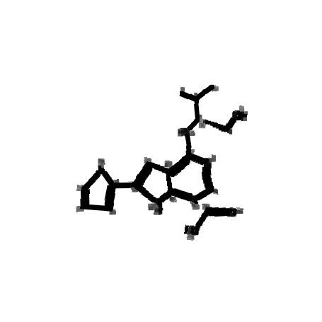 CC(C)[C@H](CO)Nc1ncnc2[nH]c(-c3cccs3)cc12.O=CO